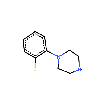 Fc1ccccc1N1CC[N]CC1